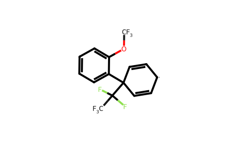 FC(F)(F)Oc1ccccc1C1(C(F)(F)C(F)(F)F)C=C[CH]C=C1